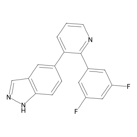 Fc1cc(F)cc(-c2ncccc2-c2ccc3[nH]ncc3c2)c1